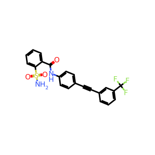 NS(=O)(=O)c1ccccc1C(=O)Nc1ccc(C#Cc2cccc(C(F)(F)F)c2)cc1